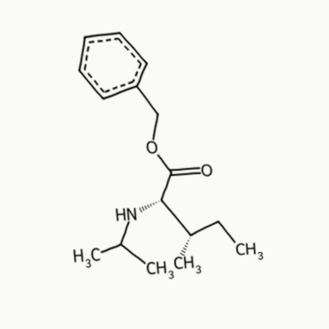 CC[C@H](C)[C@H](NC(C)C)C(=O)OCc1ccccc1